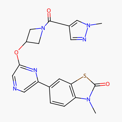 Cn1cc(C(=O)N2CC(Oc3cncc(-c4ccc5c(c4)sc(=O)n5C)n3)C2)cn1